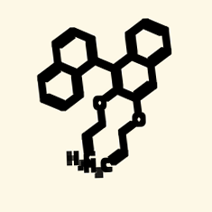 C=CCOc1cc2ccccc2c(-c2cccc3ccccc23)c1OCC=C